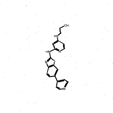 OCCNc1ccnc(Nc2nc3ccc(-c4ccncc4)cc3s2)c1